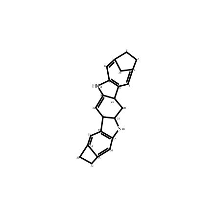 C1=C2CCC(=CC3=C1NC1=CC4c5cc6c(cc5SC4CC13)CC6)C2